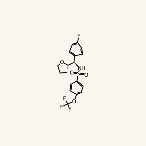 O=S(=O)(N[C@H](c1ccc(F)cc1)[C@@H]1CCCO1)c1ccc(OC(F)(F)F)cc1